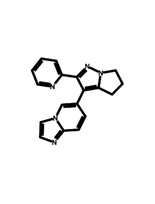 c1ccc(-c2nn3c(c2-c2ccc4nccn4c2)CCC3)nc1